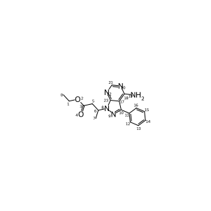 CCOC(=O)CC(C)n1nc(-c2ccccc2)c2c(N)ncnc21